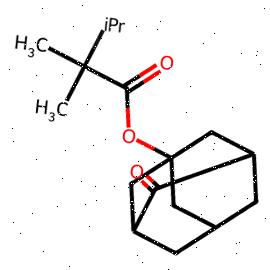 CC(C)C(C)(C)C(=O)OC12CC3CC(C1)C(=O)C(C3)C2